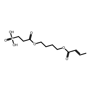 CC=CC(=O)OCCCCOC(=O)CCP(=O)(O)O